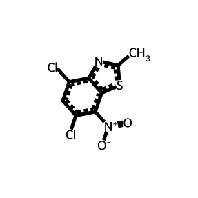 Cc1nc2c(Cl)cc(Cl)c([N+](=O)[O-])c2s1